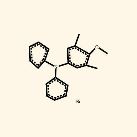 COc1c(C)cc([S+](c2ccccc2)c2ccccc2)cc1C.[Br-]